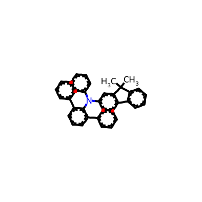 CC1(C)c2ccccc2-c2ccc(N(c3ccccc3)c3c(-c4ccccc4)cccc3-c3ccccc3)cc21